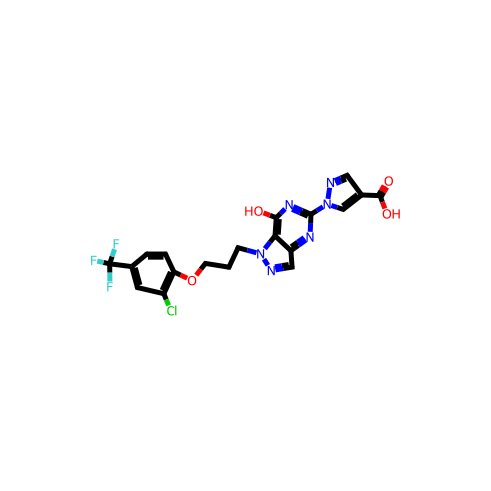 O=C(O)c1cnn(-c2nc(O)c3c(cnn3CCCOc3ccc(C(F)(F)F)cc3Cl)n2)c1